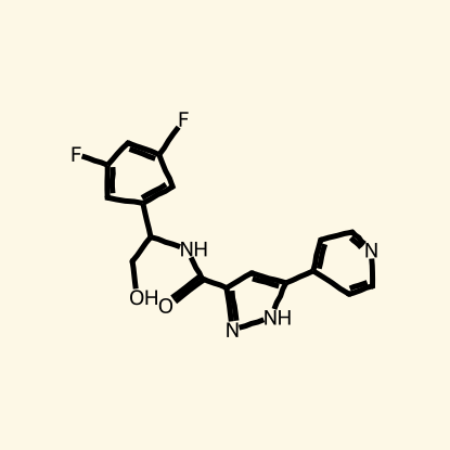 O=C(NC(CO)c1cc(F)cc(F)c1)c1cc(-c2ccncc2)[nH]n1